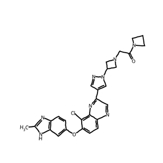 Cc1nc2ccc(Oc3ccc4ncc(-c5cnn(C6CN(CC(=O)N7CCC7)C6)c5)nc4c3Cl)cc2[nH]1